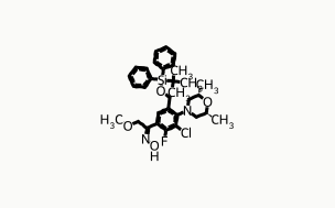 COC/C(=N/O)c1cc(CO[Si](c2ccccc2)(c2ccccc2)C(C)(C)C)c(N2C[C@@H](C)O[C@@H](C)C2)c(Cl)c1F